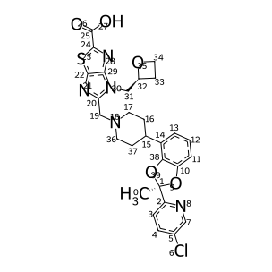 C[C@@]1(c2ccc(Cl)cn2)Oc2cccc(C3CCN(Cc4nc5sc(C(=O)O)nc5n4C[C@@H]4CCO4)CC3)c2O1